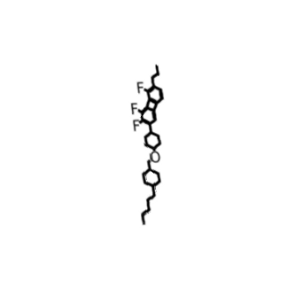 CCCCCC1CCC(COC2CCC(c3cc4c(c(F)c3F)-c3c-4ccc(CCC)c3F)CC2)CC1